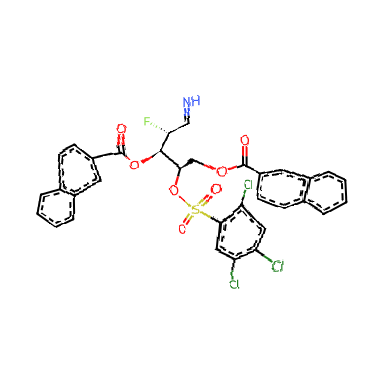 N=C[C@@H](F)[C@H](OC(=O)c1ccc2ccccc2c1)[C@@H](COC(=O)c1ccc2ccccc2c1)OS(=O)(=O)c1cc(Cl)c(Cl)cc1Cl